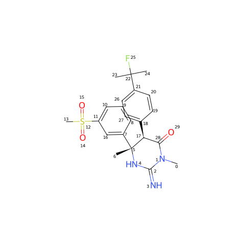 CN1C(=N)N[C@](C)(c2cccc(S(C)(=O)=O)c2)[C@@H](c2ccc(C(C)(C)F)cc2)C1=O